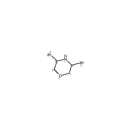 CC(C)C1COCC(C(C)C)N1